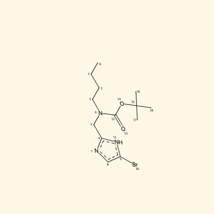 CCCCN(Cc1ncc(Br)[nH]1)C(=O)OC(C)(C)C